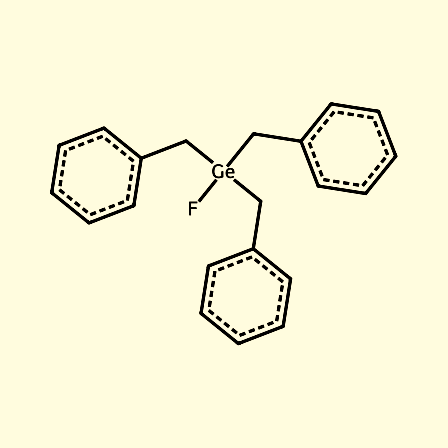 [F][Ge]([CH2]c1ccccc1)([CH2]c1ccccc1)[CH2]c1ccccc1